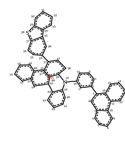 c1cc(-c2cc3ccccc3c3ccccc23)cc(N(c2ccc(-c3ccc4sc5ccccc5c4c3)cc2)c2ccccc2-c2ccc3ccccc3c2)c1